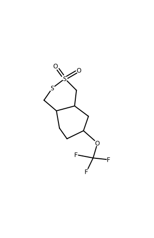 O=S1(=O)CC2CC(OC(F)(F)F)CCC2CS1